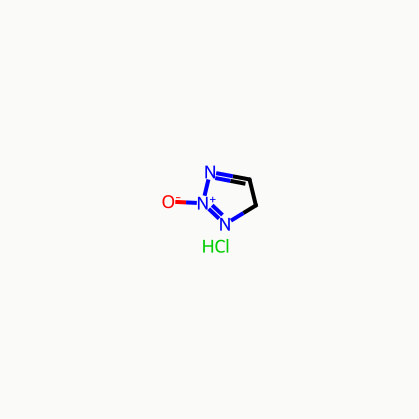 Cl.[O-][N+]1=NCC=N1